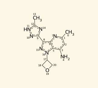 Cc1cc(N)c2c(n1)c(-c1n[nH]c(C)n1)nn2C1COC1